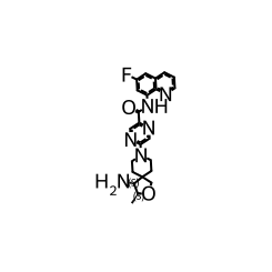 C[C@@H]1OCC2(CCN(c3cnc(C(=O)Nc4cc(F)cc5cccnc45)cn3)CC2)[C@@H]1N